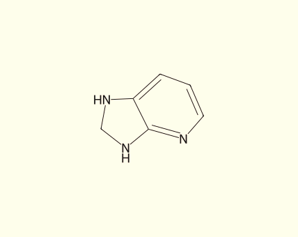 c1cnc2c(c1)NCN2